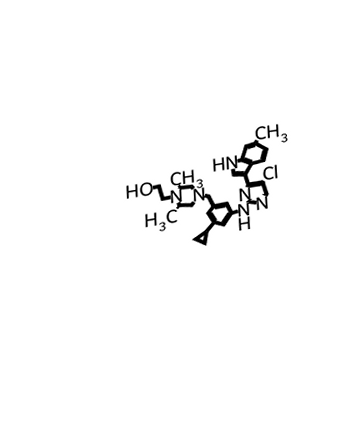 Cc1ccc2c(-c3nc(Nc4cc(CN5C[C@@H](C)N(CCO)[C@@H](C)C5)cc(C5CC5)c4)ncc3Cl)c[nH]c2c1